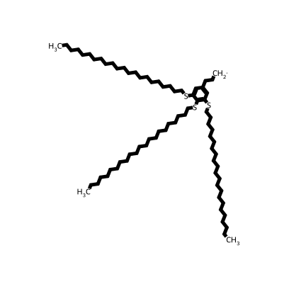 [CH2]CCc1cc(SCCCCCCCCCCCCCCCCCCCCCC)c(SCCCCCCCCCCCCCCCCCCCCCC)c(SCCCCCCCCCCCCCCCCCCCCCC)c1